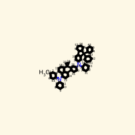 Cc1ccc(N(c2ccccc2)c2ccc3c4c(cccc24)C2(CC2)c2cc(N(c4ccccc4)c4ccc5c(c4)C(c4ccccc4)(c4ccccc4)c4ccccc4-5)ccc2-3)cc1